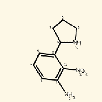 Nc1cccc(C2CCCN2)c1[N+](=O)[O-]